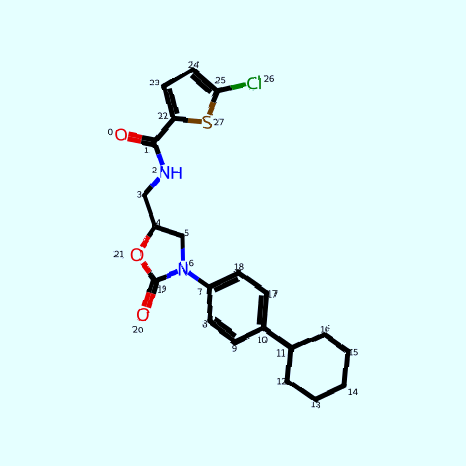 O=C(NCC1CN(c2ccc(C3CCCCC3)cc2)C(=O)O1)c1ccc(Cl)s1